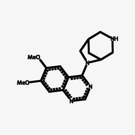 COc1cc2ncnc(N3CC4CNCC3C4)c2cc1OC